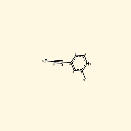 [CH2]c1cc(C#CF)ccn1